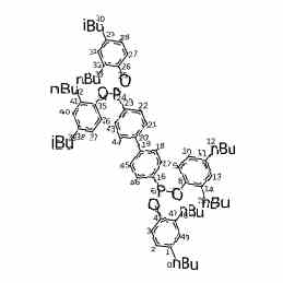 CCCCc1ccc(OP(Oc2ccc(CCCC)cc2CCCC)c2ccc(-c3ccc(P(Oc4ccc(C(C)CC)cc4CCCC)Oc4ccc(C(C)CC)cc4CCCC)cc3)cc2)c(CCCC)c1